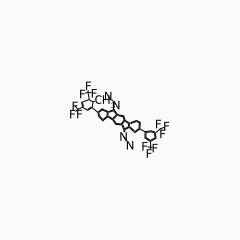 CC1C(c2ccc3c(c2)/c(=N\C#N)c2cc4c(cc23)/c(=N/C#N)c2cc(-c3cc(C(F)(F)F)cc(C(F)(F)F)c3)ccc24)=CC(C(F)(F)F)=CC1C(F)(F)F